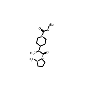 CN(C(=O)[C@@H]1CCCN1C)C1CCN(C(=O)OC(C)(C)C)CC1